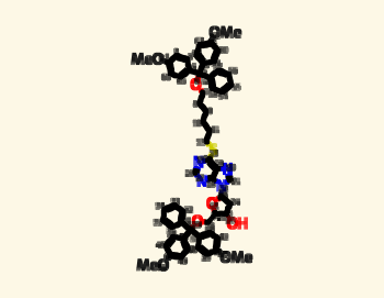 COc1ccc(C(OCCCCCCSc2ncnc3c2ncn3[C@H]2C[C@H](O)[C@@H](COC(c3ccccc3)(c3ccc(OC)cc3)c3ccc(OC)cc3)O2)(c2ccccc2)c2ccc(OC)cc2)cc1